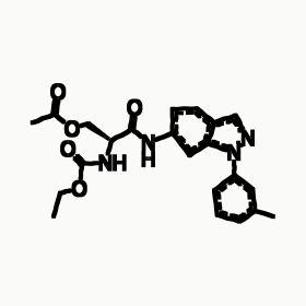 CCOC(=O)N[C@@H](COC(C)=O)C(=O)Nc1ccc2cnn(-c3cccc(C)c3)c2c1